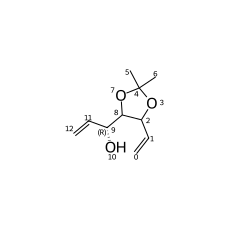 C=CC1OC(C)(C)OC1[C@H](O)C=C